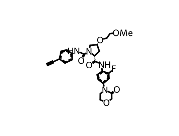 C#Cc1ccc(NC(=O)N2C[C@H](OCCOC)C[C@@H]2C(=O)Nc2ccc(N3CCOCC3=O)cc2F)cc1